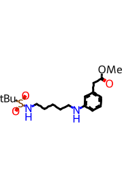 COC(=O)Cc1cccc(NCCCCCNS(=O)(=O)C(C)(C)C)c1